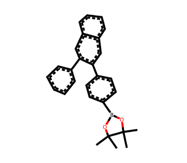 CC1(C)OB(c2ccc(-c3cc4ccccc4cc3-c3ccccc3)cc2)OC1(C)C